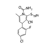 CCCSC1=C(C#N)C(c2ccc(Cl)cc2F)C=C(C)N1C(N)=O